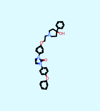 O=c1n(-c2ccc(OCCN3CCC(O)(c4ccccc4)CC3)cc2)ccn1-c1ccc(Oc2ccccc2)cc1